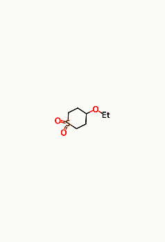 CCOC1CCS(=O)(=O)CC1